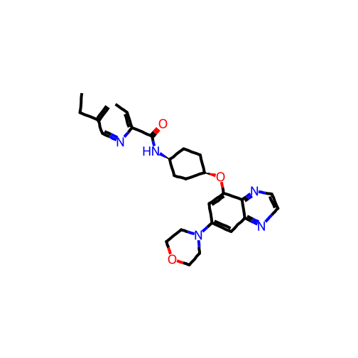 C=C(/C=N\C(=C/C)C(=O)N[C@H]1CC[C@@H](Oc2cc(N3CCOCC3)cc3nccnc23)CC1)CC